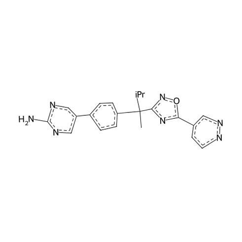 CC(C)C(C)(c1ccc(-c2cnc(N)nc2)cc1)c1noc(-c2ccnnc2)n1